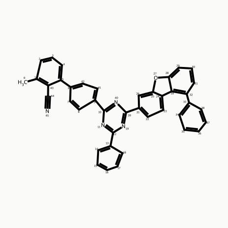 Cc1cccc(-c2ccc(-c3nc(-c4ccccc4)nc(-c4ccc5c(c4)oc4cccc(-c6ccccc6)c45)n3)cc2)c1C#N